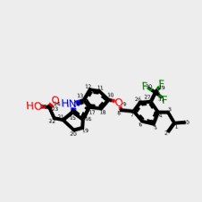 CC(C)Cc1ccc(COc2ccc3[nH]c4c(c3c2)CCC4CC(=O)O)cc1C(F)(F)F